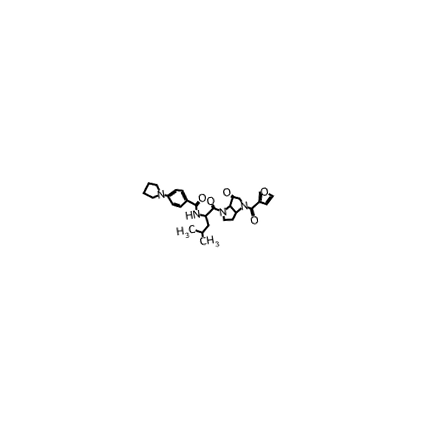 CC(C)CC(NC(=O)c1ccc(N2CCCC2)cc1)C(=O)N1CCC2C1C(=O)CN2C(=O)c1ccoc1